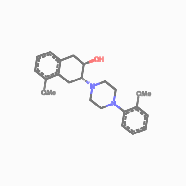 COc1ccccc1N1CCN([C@@H]2Cc3c(cccc3OC)C[C@H]2O)CC1